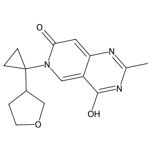 Cc1nc(O)c2cn(C3(C4CCOC4)CC3)c(=O)cc2n1